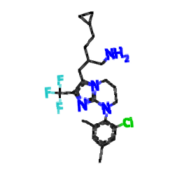 Cc1cc(C)c(N2CCCn3c2nc(C(F)(F)F)c3CC(CN)CCC2CC2)c(Cl)c1